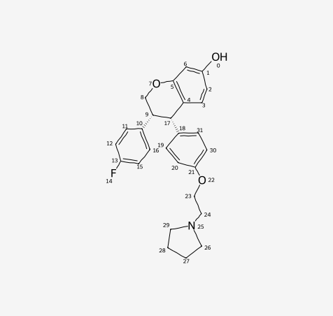 Oc1ccc2c(c1)OC[C@@H](c1ccc(F)cc1)[C@H]2c1ccc(OCCN2CCCC2)cc1